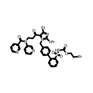 CCCc1nc(CC)c(C(=O)CCN(C(=O)c2cccnc2)c2cccnc2)n1Cc1ccc(-c2ccccc2S(=O)(=O)NC(=O)OCCC(C)C)cc1